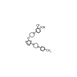 Cc1ccc(N2CCN(c3cc(OC4CCN(c5ccc(C#N)c(C(F)(F)F)c5)CC4)ncn3)CC2)cc1